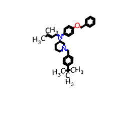 CC(C)=CCN(c1ccc(OCc2ccccc2)cc1)C1CCCN(Cc2ccc(C(C)(C)C)cc2)C1